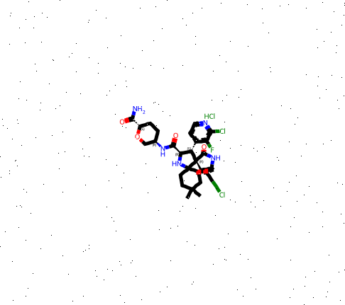 CC1(C)CCC2(CC1)N[C@@H](C(=O)N[C@@H]1CC[C@@H](C(N)=O)OC1)[C@H](c1ccnc(Cl)c1F)[C@]21C(=O)Nc2cc(Cl)ccc21.Cl